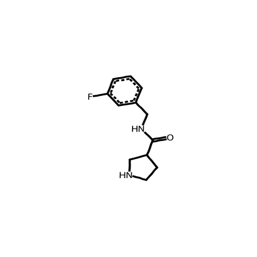 O=C(NCc1cccc(F)c1)C1CCNC1